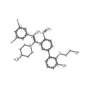 C=Nc1ccc(-c2cccc(C#N)c2OCCO)cc1/C(=C(\C)c1cc(F)cc(F)c1)N1CCC(N)CC1